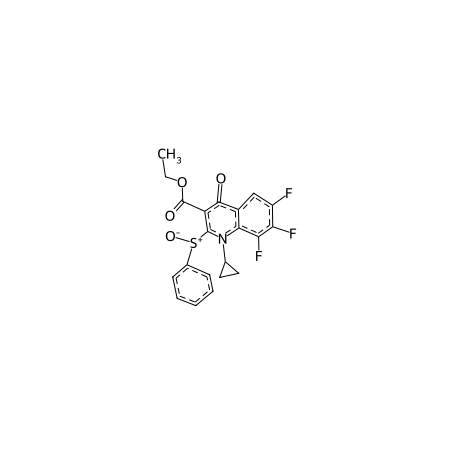 CCOC(=O)c1c([S+]([O-])c2ccccc2)n(C2CC2)c2c(F)c(F)c(F)cc2c1=O